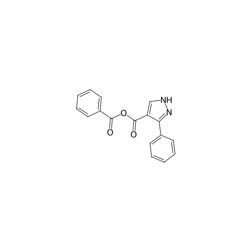 O=C(OC(=O)c1c[nH]nc1-c1ccccc1)c1ccccc1